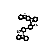 N#Cc1ccc(-c2ccc(C#N)c(-n3c4ccccc4c4cc5oc6ccccc6c5cc43)c2)cc1-n1c2ccccc2c2ccccc21